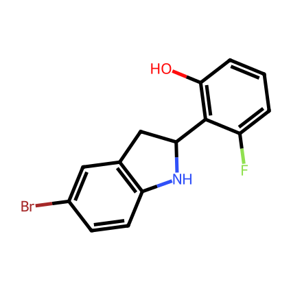 Oc1cccc(F)c1C1Cc2cc(Br)ccc2N1